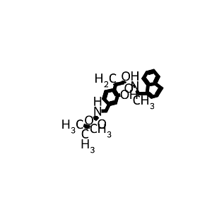 C=C(C(=O)ONC(C)c1cccc2ccccc12)c1ccc(CNC(=O)OC(C)(C)C)cc1O